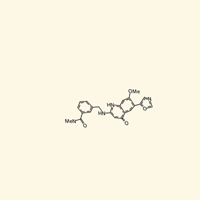 CNC(=O)c1cccc(CNc2cc(=O)c3cc(-c4cnco4)c(OC)cc3[nH]2)c1